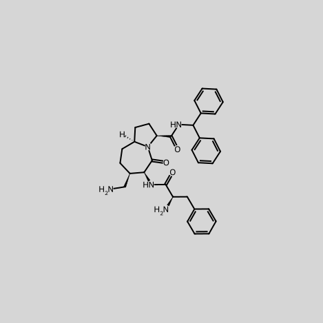 NC[C@H]1CC[C@H]2CC[C@@H](C(=O)NC(c3ccccc3)c3ccccc3)N2C(=O)[C@H]1NC(=O)[C@H](N)Cc1ccccc1